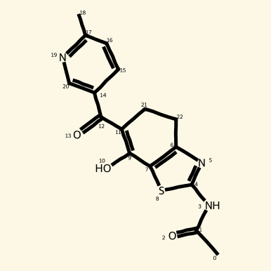 CC(=O)Nc1nc2c(s1)C(O)=C(C(=O)c1ccc(C)nc1)CC2